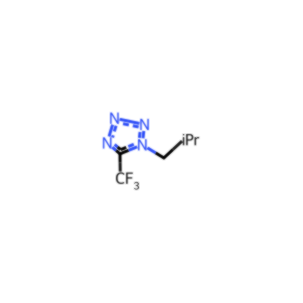 CC(C)Cn1nnnc1C(F)(F)F